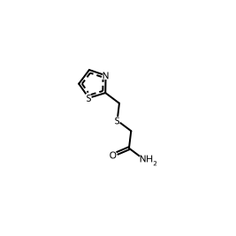 NC(=O)CSCc1nccs1